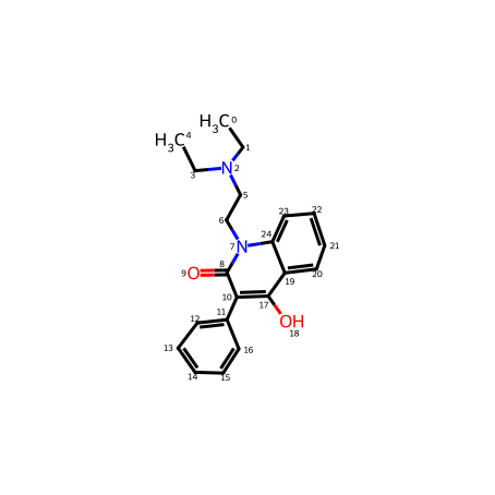 CCN(CC)CCn1c(=O)c(-c2ccccc2)c(O)c2ccccc21